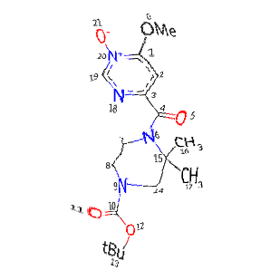 COc1cc(C(=O)N2CCN(C(=O)OC(C)(C)C)CC2(C)C)nc[n+]1[O-]